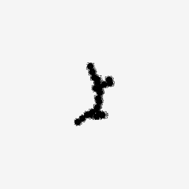 CC1(C)c2cc(-c3ccc(-c4ccccc4)cc3)ccc2-c2ccc(N(c3ccc(-c4ccc5cc(-c6ccc7cc(N(c8ccc(-c9cccc%10ccccc9%10)cc8)c8ccc9c(c8)C(C)(C)c8cc(-c%10ccc(-c%11ccccc%11)cc%10)ccc8-9)c8ccccc8c7c6)ccc5c4)cc3)c3cc4ccccc4c4ccccc34)cc21